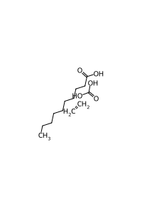 C=C.CCCCCCCCCC(=O)O.O=C(O)O